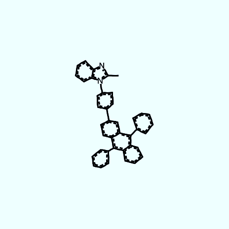 Cc1nc2ccccc2n1-c1ccc(-c2ccc3c(-c4ccccc4)c4ccccc4c(-c4ccccc4)c3c2)cc1